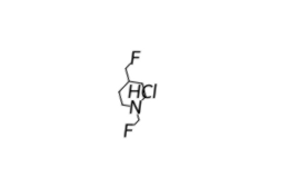 Cl.FCC1CCN(CF)CC1